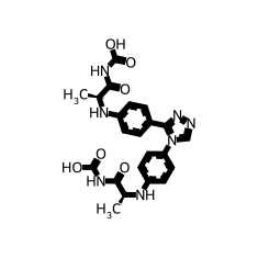 C[C@H](Nc1ccc(-c2nncn2-c2ccc(N[C@@H](C)C(=O)NC(=O)O)cc2)cc1)C(=O)NC(=O)O